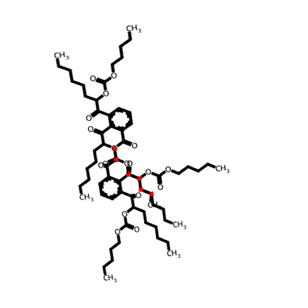 CCCCCCC(OC(=O)OCCCCC)C(=O)c1cccc(C(=O)OOC(=O)c2cccc(C(=O)C(CCCCCC)OC(=O)OCCCCC)c2C(=O)C(CCCCCC)OC(=O)OCCCCC)c1C(=O)C(CCCCCC)OC(=O)OCCCCC